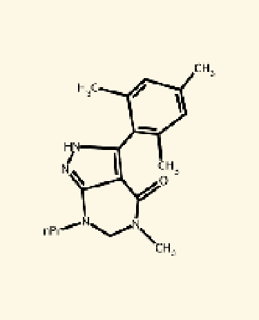 CCCN1CN(C)C(=O)c2c1n[nH]c2-c1c(C)cc(C)cc1C